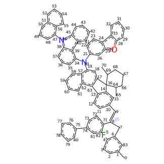 Cc1ccc(F)c(C/C(=C/c2ccc3c(c2)C2(c4cc(N(c5ccc6c(c5)oc5ccccc56)c5cccc6c5c5ccccc5n6-c5cccc6ccccc56)c5ccccc5c4-3)C(C)CCCC2C)c2ccc(-c3ccccc3)cc2)c1